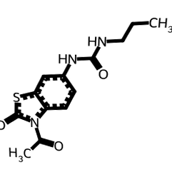 CCCNC(=O)Nc1ccc2c(c1)sc(=O)n2C(C)=O